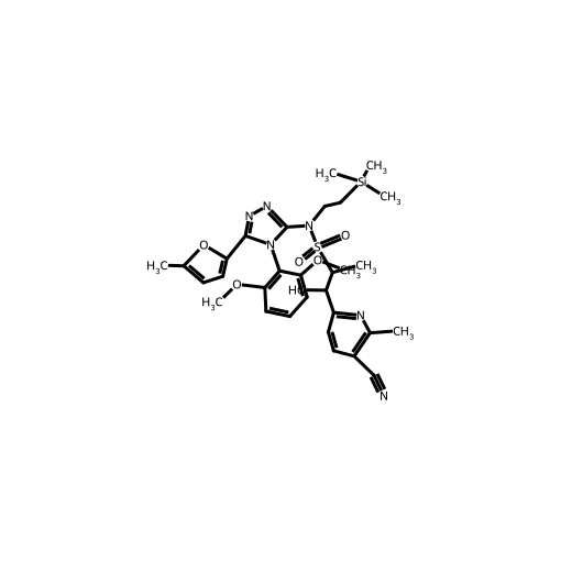 COc1cccc(OC)c1-n1c(-c2ccc(C)o2)nnc1N(CC[Si](C)(C)C)S(=O)(=O)C(C)C(O)c1ccc(C#N)c(C)n1